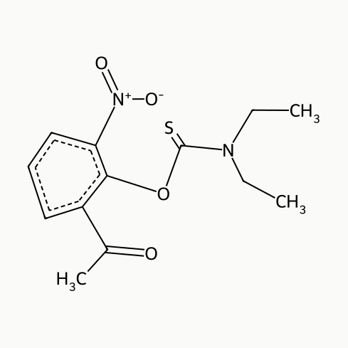 CCN(CC)C(=S)Oc1c(C(C)=O)cccc1[N+](=O)[O-]